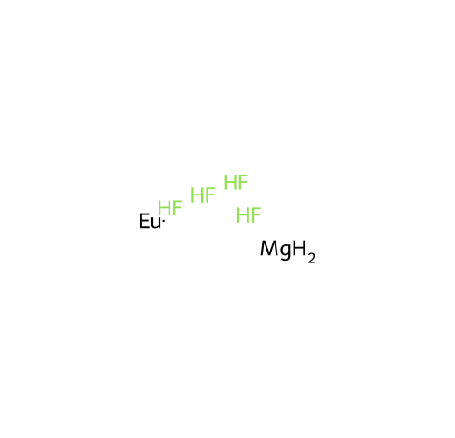 F.F.F.F.[Eu].[MgH2]